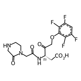 O=C(O)C[C@H](NC(=O)CN1CCNCC1=O)C(=O)COc1c(F)c(F)cc(F)c1F